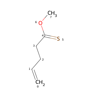 C=CCCC(=S)OC